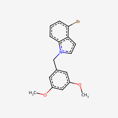 COc1cc(Cn2ccc3c(Br)cccc32)cc(OC)c1